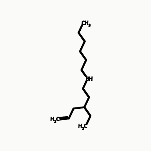 C=CCC(CC)CCBCCCCCC